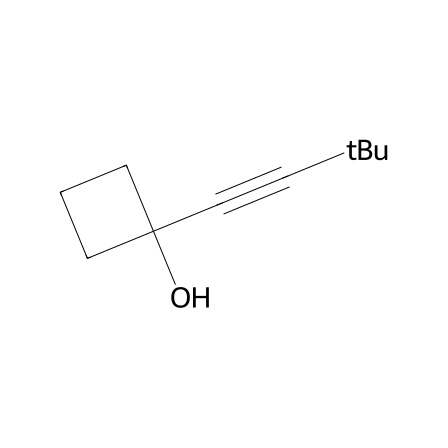 CC(C)(C)C#CC1(O)CCC1